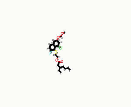 CCCCC(CC)CC(=O)OCCSc1c(F)ccc2cc(OCOC)cc(Cl)c12